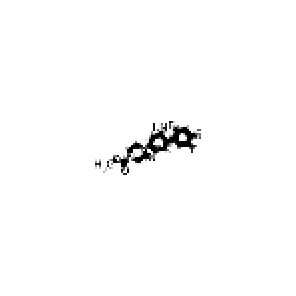 COC(=O)N1CCn2c(nc3c2CC(N)C(c2cc(F)c(F)cc2F)C3)C1